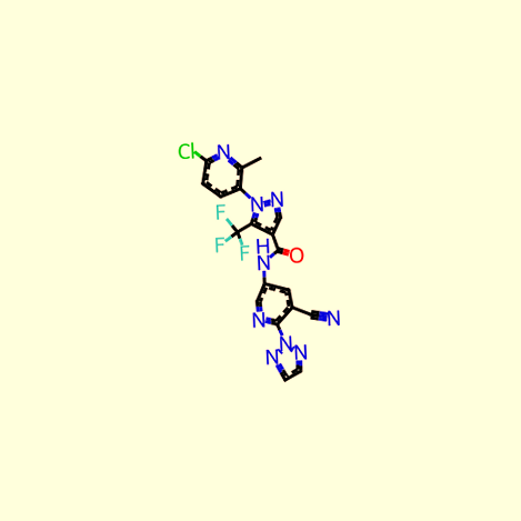 Cc1nc(Cl)ccc1-n1ncc(C(=O)Nc2cnc(-n3nccn3)c(C#N)c2)c1C(F)(F)F